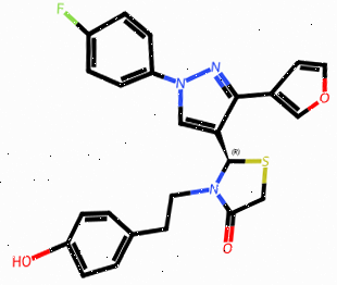 O=C1CS[C@H](c2cn(-c3ccc(F)cc3)nc2-c2ccoc2)N1CCc1ccc(O)cc1